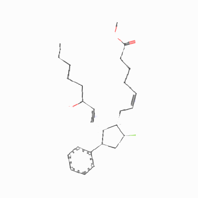 CCCCCC(O)/C=C/[C@H]1C(c2ccccc2)C[C@H](F)[C@@H]1C/C=C\CCCC(=O)OC